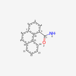 [NH]C(=O)c1cccc2ccc3ccccc3c12